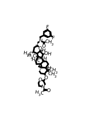 CC(=O)N1CCOC(OC2CC[C@]34C[C@]35CC[C@]3(C)C6[C@H](C)C[C@H](CN(Cc7cc(F)cc(F)c7)C(C)=O)O[C@@H]6[C@H](O)[C@@]3(C)[C@@H]5CC[C@H]4C2(C)C)C1